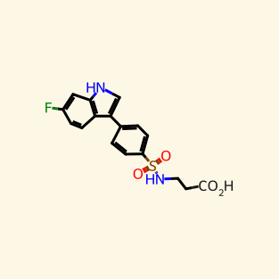 O=C(O)CCNS(=O)(=O)c1ccc(-c2c[nH]c3cc(F)ccc23)cc1